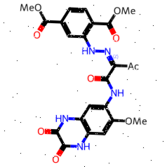 COC(=O)c1ccc(C(=O)OC)c(N/N=C(/C(C)=O)C(=O)Nc2cc3[nH]c(=O)c(=O)[nH]c3cc2OC)c1